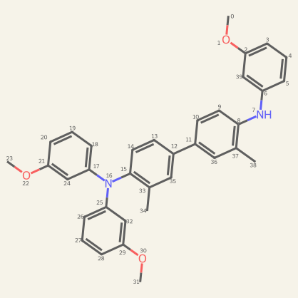 COc1cccc(Nc2ccc(-c3ccc(N(c4cccc(OC)c4)c4cccc(OC)c4)c(C)c3)cc2C)c1